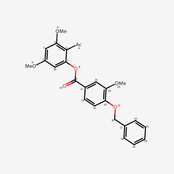 COc1cc(OC)c(C(C)=O)c(OC(=O)c2ccc(OCc3ccccc3)c(OC)c2)c1